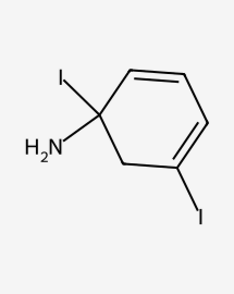 NC1(I)C=CC=C(I)C1